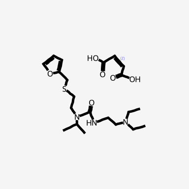 CCN(CC)CCNC(=O)N(CCSCc1ccco1)C(C)C.O=C(O)/C=C\C(=O)O